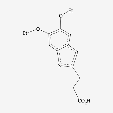 CCOc1cc2cc(CCC(=O)O)sc2cc1OCC